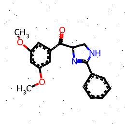 COc1cc(OC)cc(C(=O)C2CNC(c3ccccc3)=N2)c1